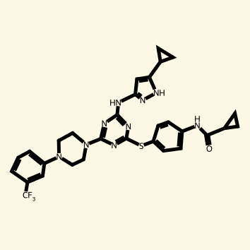 O=C(Nc1ccc(Sc2nc(Nc3cc(C4CC4)[nH]n3)nc(N3CCN(c4cccc(C(F)(F)F)c4)CC3)n2)cc1)C1CC1